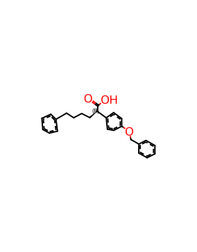 O=C(O)[C@H](CCCCc1ccccc1)c1ccc(OCc2ccccc2)cc1